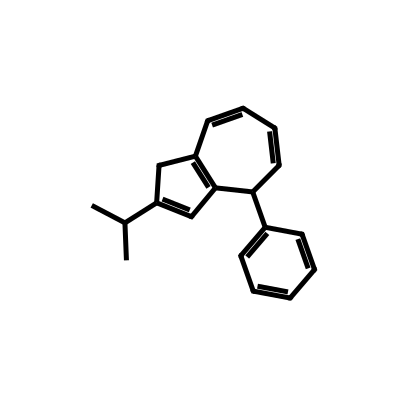 CC(C)C1=CC2=C(C=CC=CC2c2ccccc2)C1